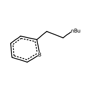 CCCCCCc1bcccc1